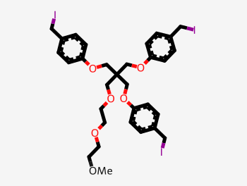 COCCOCCOCC(COc1ccc(CI)cc1)(COc1ccc(CI)cc1)COc1ccc(CI)cc1